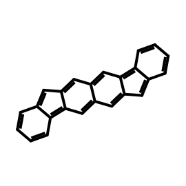 C1=c2ccccc2=c2cc3cc4c(cc3cc21)=c1ccccc1=C4